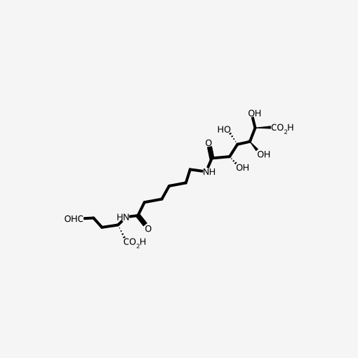 O=CCC[C@H](NC(=O)CCCCCNC(=O)[C@@H](O)[C@H](O)[C@H](O)[C@@H](O)C(=O)O)C(=O)O